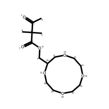 CC(=O)C(C)(C)C(=O)OCC1COCCOCCOCCO1